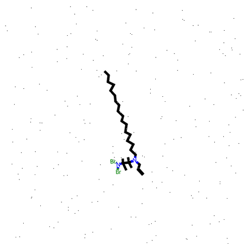 C=CCN(CCCCCCCCCCCCCCCCCC)C(C)(C)C(C)(C)N(Br)Br